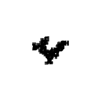 CC(CN1c2ccccc2Sc2cccnc21)N(C)C.CN(C)CCC(c1ccc(Cl)cc1)c1ccccn1.O=C(O)/C=C\C(=O)O